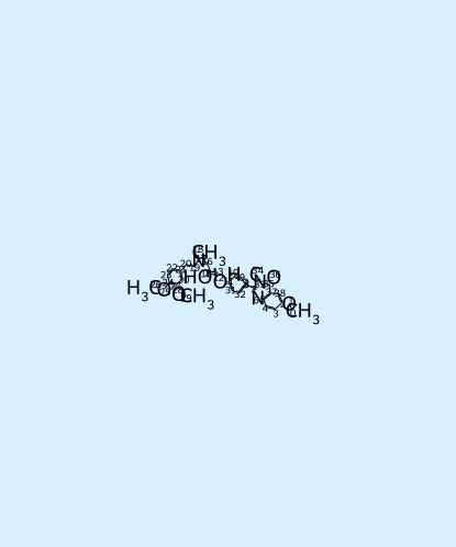 COc1ccc2nc(-c3ccc(OCC(O)CN(C)CCc4ccc(OC)c(OC)c4)cc3)n(C)c(=O)c2c1